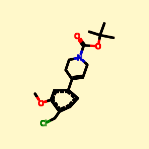 COc1cc(C2=CCN(C(=O)OC(C)(C)C)CC2)ccc1CCl